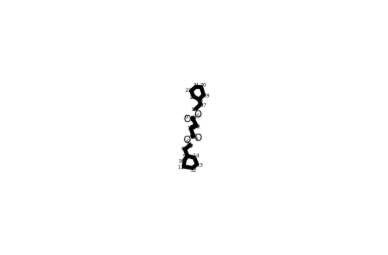 O=C(C=CC(=O)OCCC1CCCCC1)OCCC1CCCCC1